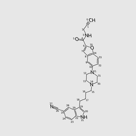 C#CCNC(=O)c1cc2cc(N3CCN(CCCCc4c[nH]c5ccc(C#N)cc45)CC3)ccc2o1